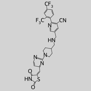 N#Cc1cc(CNCC2CCN(c3nccc(C=C4SC(=O)NC4=O)n3)CC2)cnc1-c1ccc(C(F)(F)F)cc1C(F)(F)F